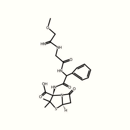 COCC(=N)NCC(=O)NC(C(=O)N[C@@]1(C(=O)O)N2C(=O)C[C@H]2SC1(C)C)c1ccccc1